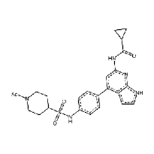 CC(=O)N1CCC(S(=O)(=O)Nc2ccc(-c3cc(NC(=O)C4CC4)nc4[nH]ccc34)cc2)CC1